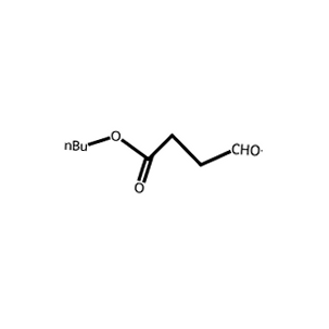 CCCCOC(=O)CC[C]=O